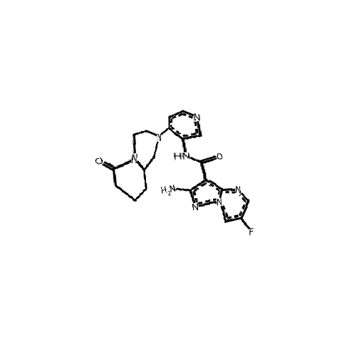 Nc1nn2cc(F)cnc2c1C(=O)Nc1cnccc1N1CCN2C(=O)CCCC2C1